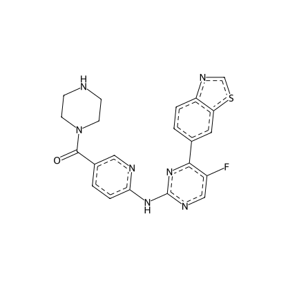 O=C(c1ccc(Nc2ncc(F)c(-c3ccc4ncsc4c3)n2)nc1)N1CCNCC1